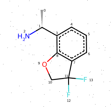 C[C@@H](N)c1cccc2c1OCC2(F)F